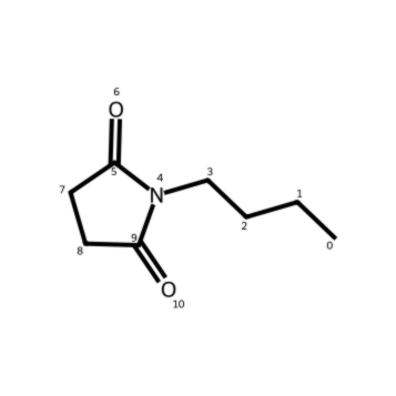 CCCCN1C(=O)CCC1=O